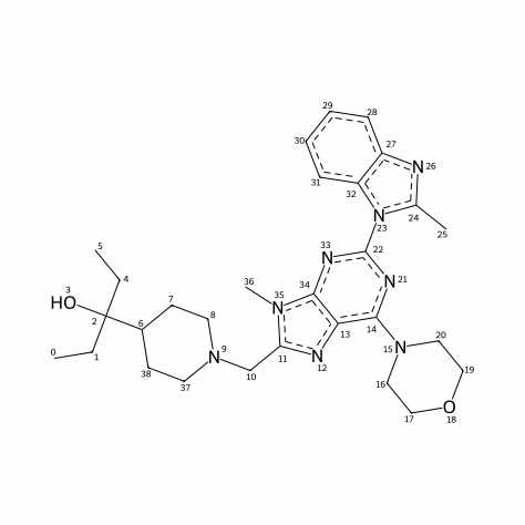 CCC(O)(CC)C1CCN(Cc2nc3c(N4CCOCC4)nc(-n4c(C)nc5ccccc54)nc3n2C)CC1